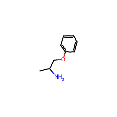 CC(N)COc1ccccc1